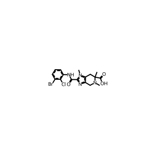 CN1Cc2nc(C(=O)Nc3cccc(Br)c3Cl)n(C)c2CC1(C)C(=O)O